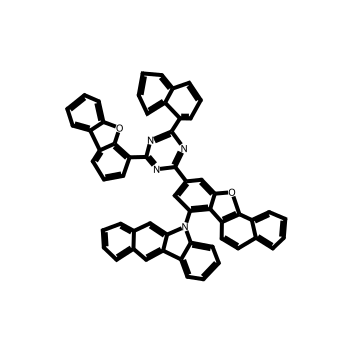 c1ccc2cc3c(cc2c1)c1ccccc1n3-c1cc(-c2nc(-c3cccc4ccccc34)nc(-c3cccc4c3oc3ccccc34)n2)cc2oc3c4ccccc4ccc3c12